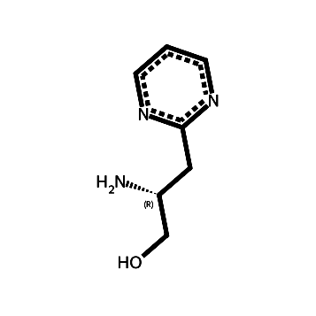 N[C@@H](CO)Cc1ncccn1